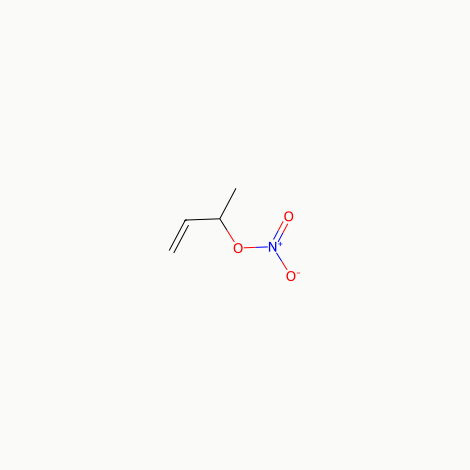 C=CC(C)O[N+](=O)[O-]